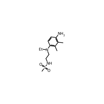 CCN(CCNS(C)(=O)=O)c1ccc(N)c(C)c1C